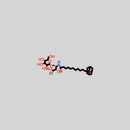 CC[C@@H](O)[C@@H](O)[C@H](COC1OC(CO)C(O)C(O)C1O)NC(=O)CCCCCCCCCCC12CC3CC(CC(C3)C1)C2